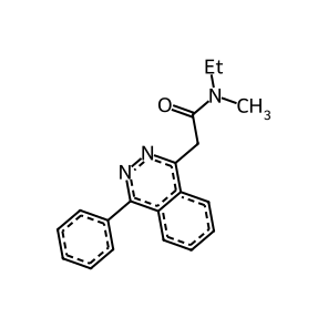 CCN(C)C(=O)Cc1nnc(-c2ccccc2)c2ccccc12